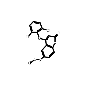 O=c1cc(Oc2c(Cl)cccc2Cl)c2cc(SSCl)ccc2o1